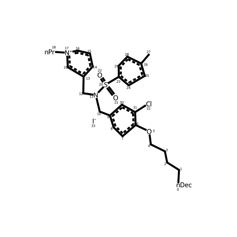 CCCCCCCCCCCCCCOc1ccc(CN(Cc2ccc[n+](CCC)c2)S(=O)(=O)c2ccc(C)cc2)cc1Cl.[I-]